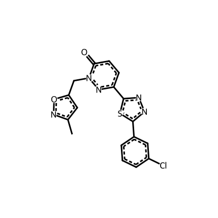 Cc1cc(Cn2nc(-c3nnc(-c4cccc(Cl)c4)s3)ccc2=O)on1